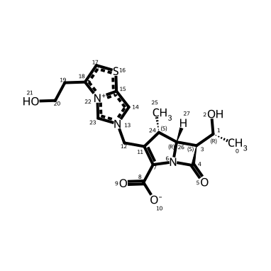 C[C@@H](O)[C@H]1C(=O)N2C(C(=O)[O-])=C(Cn3cc4scc(CCO)[n+]4c3)[C@H](C)[C@H]12